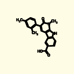 Cc1ccc(-c2cc3c4cc(C(=O)O)ccc4[nH]c3n(C)c2=O)c(C)c1